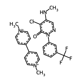 CNc1cnn(-c2cccc(C(F)(F)F)c2)c(=O)c1Cl.C[n+]1ccc(-c2cc[n+](C)cc2)cc1